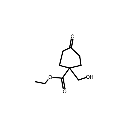 CCOC(=O)C1(CO)CCC(=O)CC1